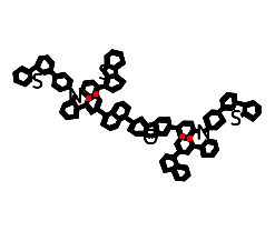 c1cc(-c2ccccc2N(c2ccc(-c3ccc4c(c3)oc3ccc(-c5cccc6c(-c7cccc(-c8ccccc8N(c8ccc(-c9cccc%10c9sc9ccccc9%10)cc8)c8ccc(-c9cccc%10c9sc9ccccc9%10)cc8)c7)cccc56)cc34)cc2)c2ccc(-c3cccc4c3sc3ccccc34)cc2)cc(-c2cccc3ccccc23)c1